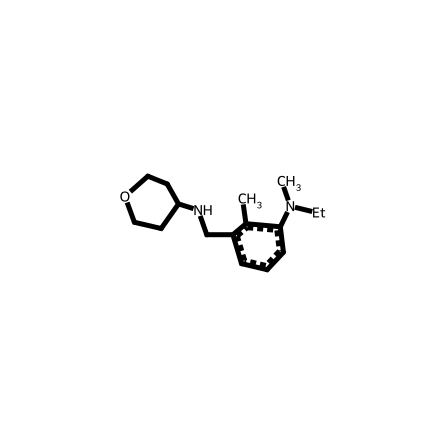 CCN(C)c1cccc(CNC2CCOCC2)c1C